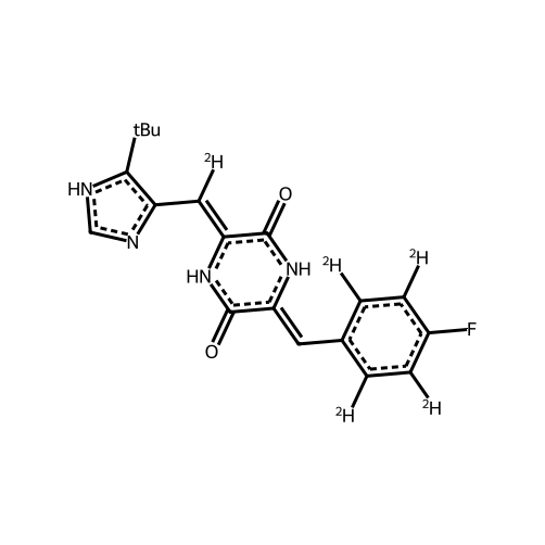 [2H]/C(c1nc[nH]c1C(C)(C)C)=c1/[nH]c(=O)/c(=C/c2c([2H])c([2H])c(F)c([2H])c2[2H])[nH]c1=O